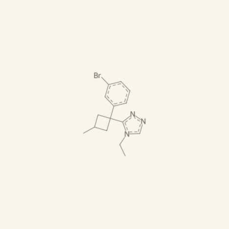 CCn1cnnc1C1(c2cccc(Br)c2)CC(C)C1